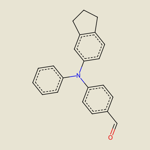 O=Cc1ccc(N(c2ccccc2)c2ccc3c(c2)CCC3)cc1